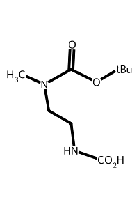 CN(CCNC(=O)O)C(=O)OC(C)(C)C